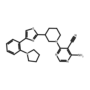 N#Cc1c(N)ncnc1N1CCCC(c2nc(-c3ccc[c]c3N3CCCC3)cs2)C1